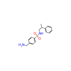 CC(CNS(=O)(=O)c1ccc(CN)cc1)c1ccccc1